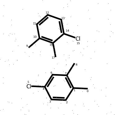 Cc1ccc(Cl)cc1C.Cc1cccc(Cl)c1C